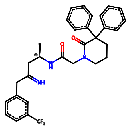 C[C@H](CC(=N)Cc1cccc(C(F)(F)F)c1)NC(=O)CN1CCCC(c2ccccc2)(c2ccccc2)C1=O